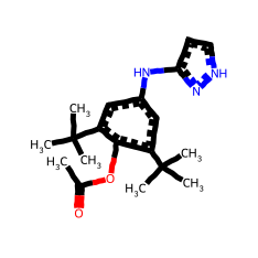 CC(=O)Oc1c(C(C)(C)C)cc(Nc2cc[nH]n2)cc1C(C)(C)C